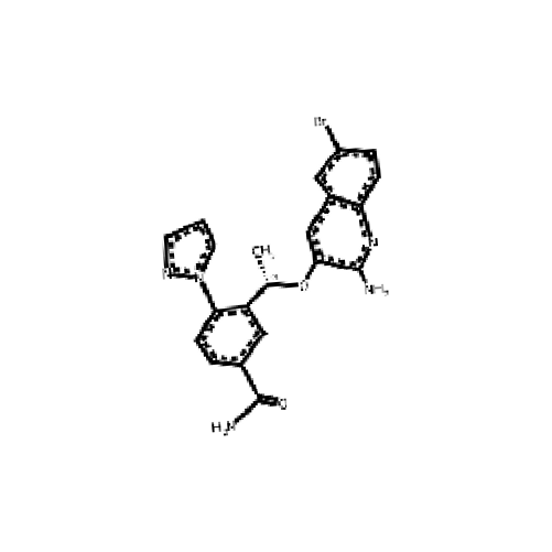 C[C@H](Oc1cc2cc(Br)ccc2nc1N)c1cc(C(N)=O)ccc1-n1cccn1